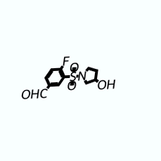 O=Cc1ccc(F)c(S(=O)(=O)N2CCC(O)C2)c1